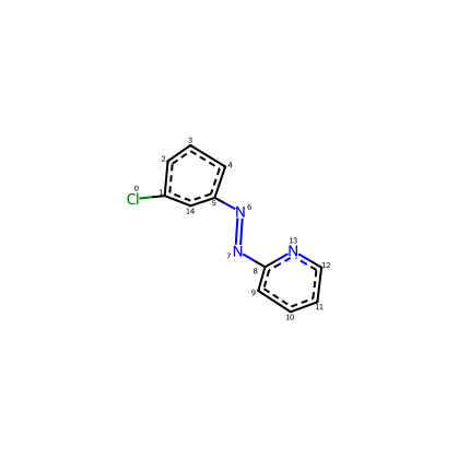 Clc1cccc(N=Nc2ccccn2)c1